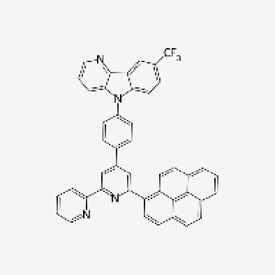 FC(F)(F)c1ccc2c(c1)c1ncccc1n2-c1ccc(-c2cc(-c3ccccn3)nc(-c3ccc4ccc5cccc6ccc3c4c56)c2)cc1